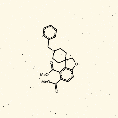 COC(=O)c1ccc2c(c1C(=O)OC)C1(CCN(Cc3ccccc3)CC1)CO2